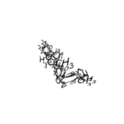 CC(C)(C)c1ccc2oc3cc(CC(C)(C)c4cccc5c4oc4ccccc45)ccc3c2c1